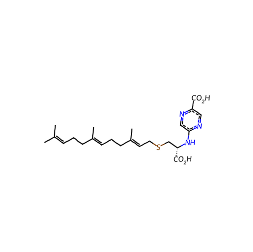 CC(C)=CCC/C(C)=C/CC/C(C)=C/CSC[C@H](Nc1cnc(C(=O)O)cn1)C(=O)O